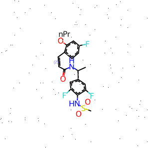 CCCOc1cc(F)ccc1/C=C\C(=O)NC(C)c1cc(F)c(NS(C)(=O)=O)c(F)c1